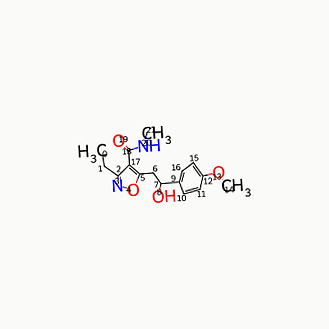 CCc1noc(CC(O)c2ccc(OC)cc2)c1C(=O)NC